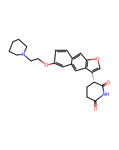 O=C1CC[C@H](c2coc3cc4ccc(OCCN5CCCCC5)cc4cc23)C(=O)N1